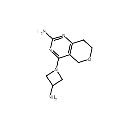 Nc1nc2c(c(N3CC(N)C3)n1)COCC2